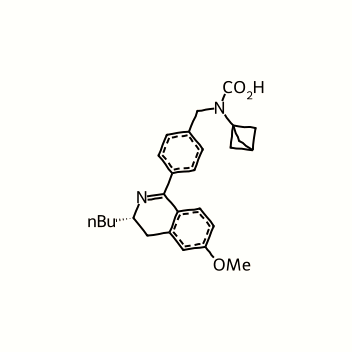 CCCC[C@H]1Cc2cc(OC)ccc2C(c2ccc(CN(C(=O)O)C34CC(C3)C4)cc2)=N1